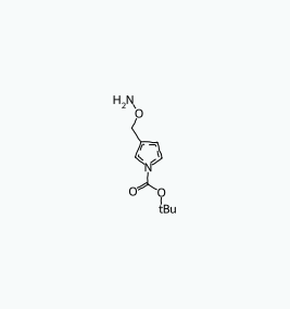 CC(C)(C)OC(=O)n1ccc(CON)c1